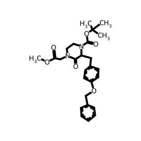 COC(=O)CN1CCN(C(=O)OC(C)(C)C)C(Cc2ccc(OCc3ccccc3)cc2)C1=O